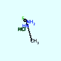 CCCCCCCCCCCCCNCCC(N)c1ccc(F)cc1.Cl.Cl